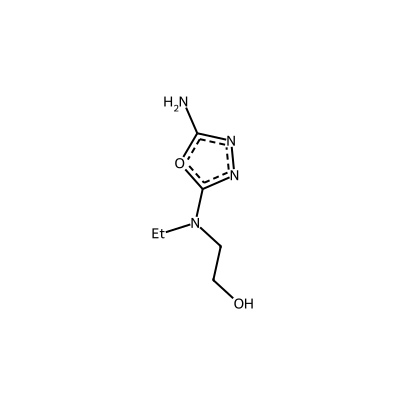 CCN(CCO)c1nnc(N)o1